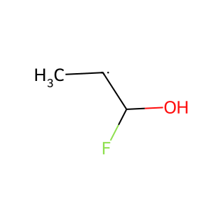 C[CH]C(O)F